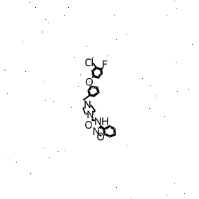 O=C(Nc1noc2ccccc12)N1CCN(Cc2cccc(Oc3ccc(F)c(Cl)c3)c2)CC1